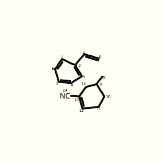 C=Cc1ccccc1.CC1CCC=C(C#N)C1